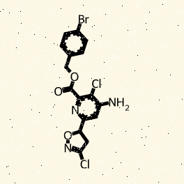 Nc1cc(C2CC(Cl)=NO2)nc(C(=O)OCc2ccc(Br)cc2)c1Cl